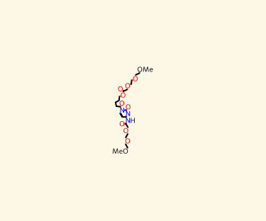 COCCOCCOCC(=O)Nc1ccn(C2CCC(COC(=O)COCCOCCOC)O2)c(=O)n1